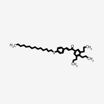 CCCCCCCCCCCCCCSc1ccc(C=CC(=O)c2cc(CCC)c(CCC)c(CCC)c2)cc1